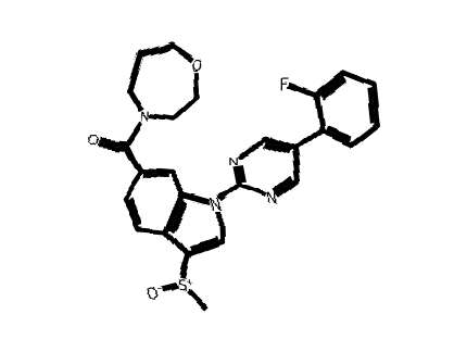 C[S+]([O-])c1cn(-c2ncc(-c3ccccc3F)cn2)c2cc(C(=O)N3CCCOCC3)ccc12